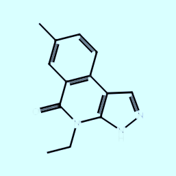 CCn1c(=O)c2cc(C)ccc2c2cn[nH]c21